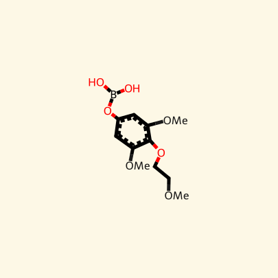 COCCOc1c(OC)cc(OB(O)O)cc1OC